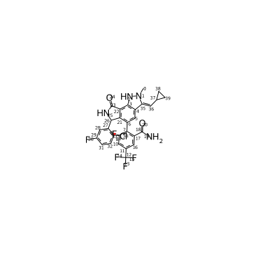 CN1Nc2c(cc(-c3c(F)cc(C(F)(F)F)cc3C(N)=O)c3c2C(=O)NC3c2cc(F)ccc2Cl)C1=CC1CC1